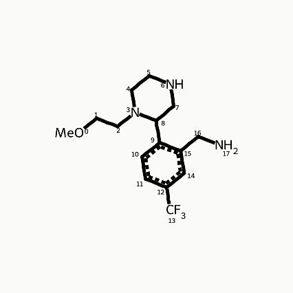 COCCN1CCNCC1c1ccc(C(F)(F)F)cc1CN